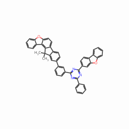 CC1(C)c2cc(-c3cccc(-c4nc(-c5ccccc5)nc(-c5ccc6c(c5)oc5ccccc56)n4)c3)ccc2-c2ccc3oc4ccccc4c3c21